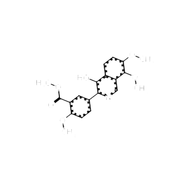 COC(=O)c1cc(-c2ncc3c(OC)c(OC)ccc3c2O)ccc1OC